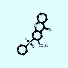 CCOC(=O)c1cc2c(=O)c3ccccc3sc2cc1S(=O)(=O)c1ccccc1